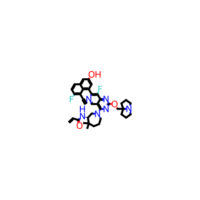 C#Cc1c(F)ccc2cc(O)cc(-c3ncc4c(N5CCCC(C)(C)[C@H](NC(=O)C=C)C5)nc(OCC56CCCN5CCC6)nc4c3F)c12